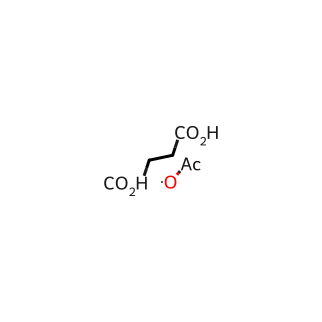 CC([O])=O.O=C(O)CCC(=O)O